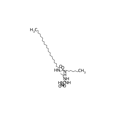 CCCCCCCCCCCCCCCCCCCCCC(=O)N[C@@H](CCCNC(=N)N[N+](=O)[O-])C(=O)NCCCCCCC